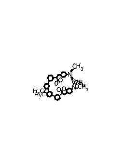 CC#CN(C#CC)c1ccc2cc(-c3cccc(-c4ccc5c(c4)-c4cc(-c6cccc(-c7cc8ccc(N(CC)CC)cc8oc7=O)c6)ccc4C5(C)C)c3)c(=O)oc2c1